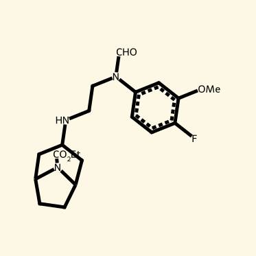 CCOC(=O)N1C2CCC1CC(NCCN(C=O)c1ccc(F)c(OC)c1)C2